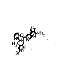 C[C@H](c1ncccn1)N(Cc1ccc(Br)nn1)C(=O)c1cc2c3c(c(N)nc2cn1)COC3